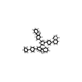 C1=Cc2c(cccc2-c2ccc(-c3nc(-c4ccc5c(c4)oc4ccccc45)nc(-c4cc(-c5ccc(-c6ccccc6)cc5)cc5oc6ccccc6c45)n3)cc2)CC1